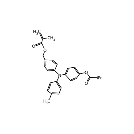 C=C(C)C(=O)OCc1ccc(N(c2ccc(C)cc2)c2ccc(OC(=O)C(C)C)cc2)cc1